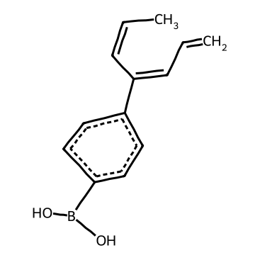 C=C/C=C(\C=C/C)c1ccc(B(O)O)cc1